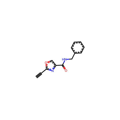 C#Cc1nc(C(=O)NCc2ccccc2)co1